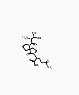 C[C@@H](O)[C@H](N)C(=O)N1CCCC12CCN([C@@H](CCC(N)=O)C(N)=O)C2=O